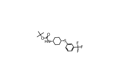 CC(C)(C)OC(=O)N[C@H]1CC[C@@H](Sc2cccc(C(F)(F)F)c2)CC1